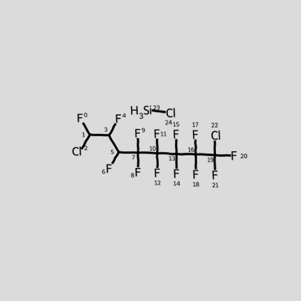 FC(Cl)C(F)C(F)C(F)(F)C(F)(F)C(F)(F)C(F)(F)C(F)(F)Cl.[SiH3]Cl